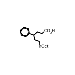 CCCCCCCCCCC(CCC(=O)O)c1ccccc1